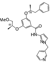 COC[C@H](C)Oc1cc(O[C@@H](C)Cc2ccccc2)cc(C(=O)Nc2ccn(Cc3cccnc3)n2)c1